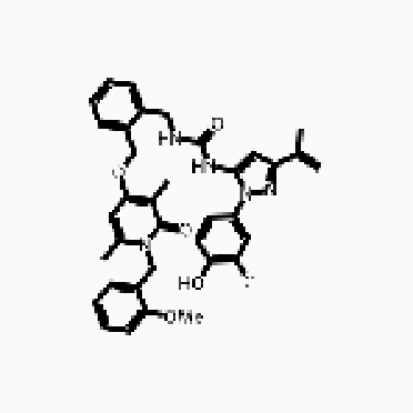 C=C(C)c1cc(NC(=O)NCc2ccccc2COc2cc(C)n(Cc3ccccc3OC)c(=O)c2C)n(-c2ccc(O)c(Cl)c2)n1